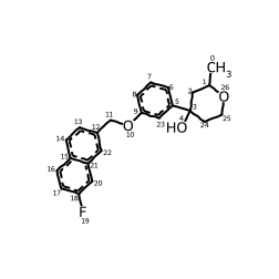 CC1CC(O)(c2cccc(OCc3ccc4ccc(F)cc4c3)c2)CCO1